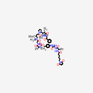 CC[C@H](C)C([C@@H](CC(=O)N1CCC[C@H]1[C@H](OC)[C@@H](C)C(=O)NCC(=O)c1ccccc1)OC)N(C)C(=O)CNC(=O)C(C(C)C)N(C)C(=O)OCc1ccc(NC(=O)CNC(=O)C(NC(=O)CCCCCN2C(=O)C=CC2=O)C(C)C)cc1